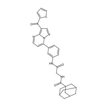 O=C(CNC(=O)C12CC3CC(CC(C3)C1)C2)Nc1cccc(-c2ccnc3c(C(=O)c4cccs4)cnn23)c1